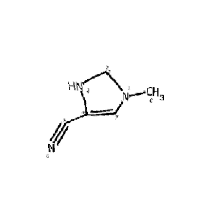 CN1[C]NC(C#N)=C1